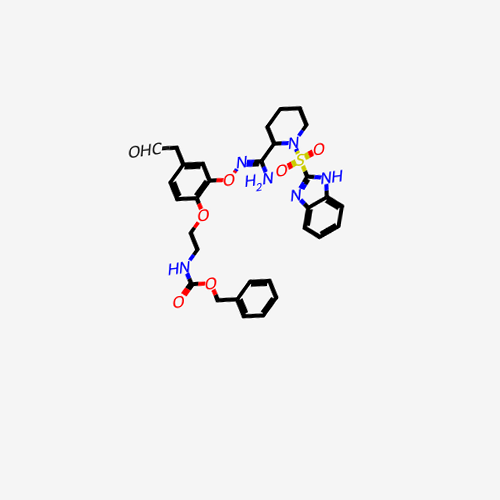 NC(=NOc1cc(CC=O)ccc1OCCNC(=O)OCc1ccccc1)C1CCCCN1S(=O)(=O)c1nc2ccccc2[nH]1